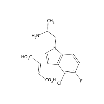 C[C@@H](N)Cn1ccc2c(Cl)c(F)ccc21.O=C(O)/C=C/C(=O)O